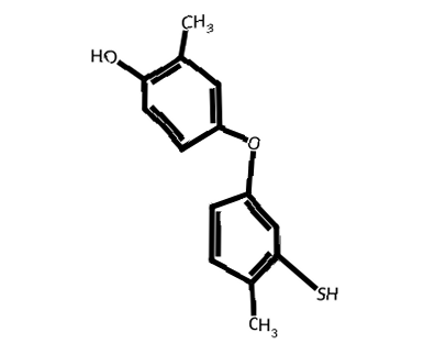 Cc1cc(Oc2ccc(C)c(S)c2)ccc1O